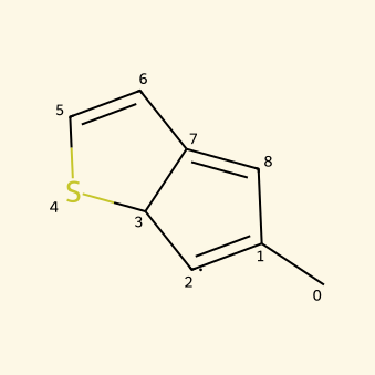 CC1=[C]C2SC=CC2=C1